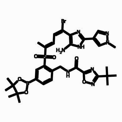 C/C(=C\C=C(\Br)c1nc(-c2cnn(C)c2)[nH]c1N)S(=O)(=O)c1cc(B2OC(C)(C)C(C)(C)O2)ccc1CNC(=O)c1nc(C(C)(C)C)no1